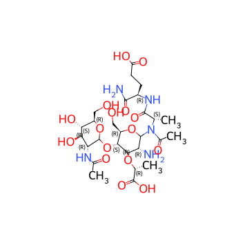 CC(=O)N[C@H]1C(O[C@H]2[C@H](O[C@H](C)C(=O)O)[C@@H](N)C(N(C(C)=O)[C@@H](C)C(=O)N[C@H](CCC(=O)O)C(N)=O)O[C@@H]2CO)O[C@H](CO)[C@@H](O)[C@@H]1O